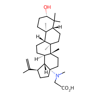 C=C(C)[C@@H]1CC[C@]2(N(C)CC(=O)O)CC[C@]3(C)[C@H](CC[C@@H]4[C@@]5(C)CC[C@H](O)C(C)(C)[C@@H]5CC[C@]43C)[C@@H]12